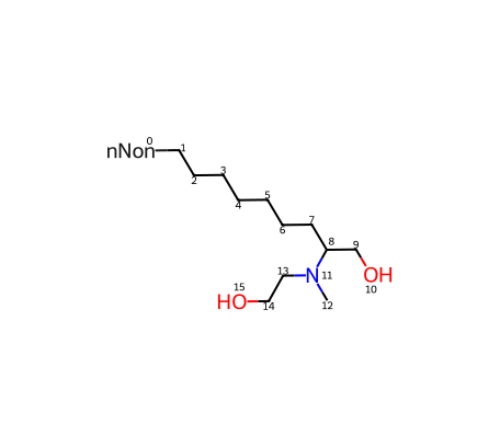 CCCCCCCCCCCCCCCCC(CO)N(C)CCO